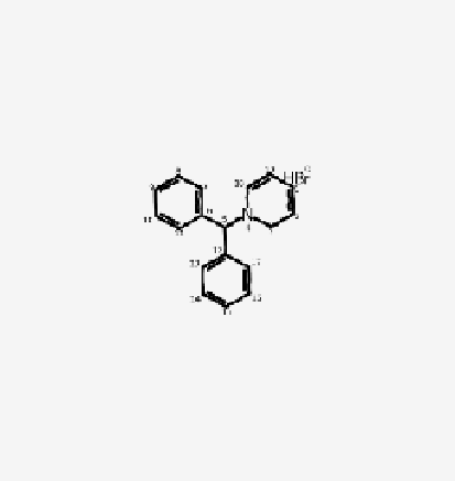 Br.C1=CCN(C(c2ccccc2)c2ccccc2)C=C1